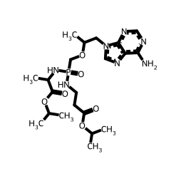 CC(C)OC(=O)CCNP(=O)(COC(C)Cn1cnc2c(N)ncnc21)NC(C)C(=O)OC(C)C